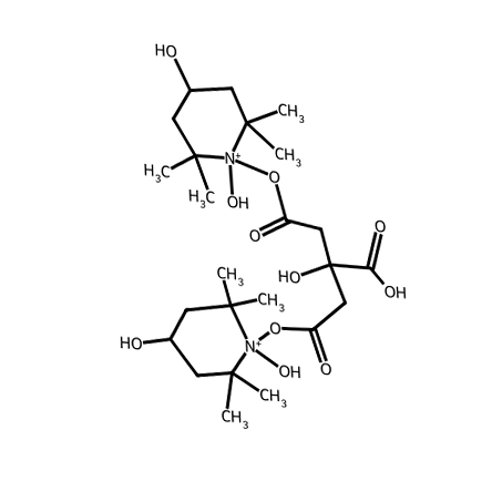 CC1(C)CC(O)CC(C)(C)[N+]1(O)OC(=O)CC(O)(CC(=O)O[N+]1(O)C(C)(C)CC(O)CC1(C)C)C(=O)O